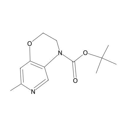 Cc1cc2c(cn1)N(C(=O)OC(C)(C)C)CCO2